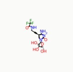 Nc1nc(=O)n([C@@H]2O[C@H](CO)C(O)[C@@H]2O)cc1C#CCNC(=O)C(F)(F)F